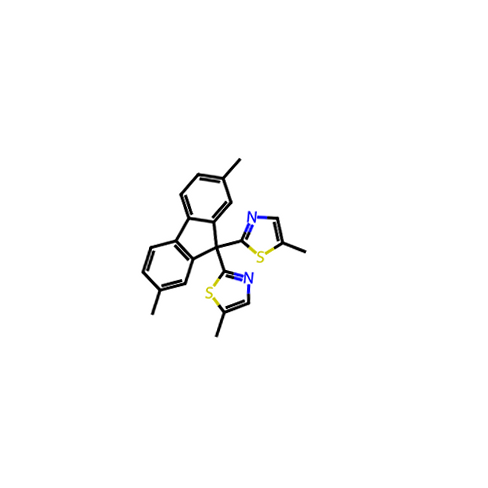 Cc1ccc2c(c1)C(c1ncc(C)s1)(c1ncc(C)s1)c1cc(C)ccc1-2